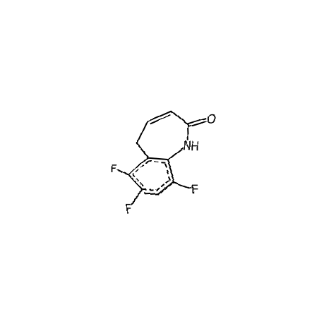 O=C1C=CCc2c(F)c(F)cc(F)c2N1